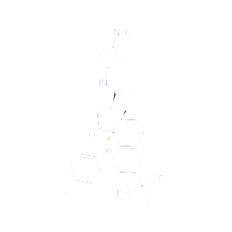 NC1CC(NC(=O)[C@@H]2CC[C@@]3(S(=O)(=O)c4ccc(F)cc4)c4ccc(C(F)(C(F)(F)F)C(F)(F)F)cc4CC[C@@H]23)C1